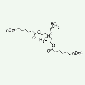 C=CC[N+](C)(CCOC(=O)CCCCCCCCCCCCCCC)CCOC(=O)CCCCCCCCCCCCCCC.[Br-]